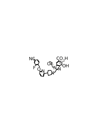 N#Cc1ccc(COc2cccc(C3CCN(Cc4nc5c(O)nc(C(=O)O)cc5n4C[C@@H]4CCO4)CC3)n2)c(F)c1